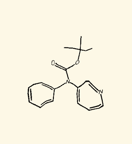 CC(C)(C)OC(=O)N(c1ccccc1)c1cccnc1